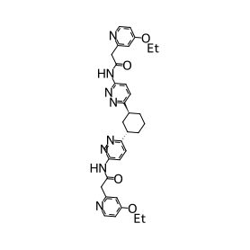 CCOc1ccnc(CC(=O)Nc2ccc([C@H]3CCC[C@H](c4ccc(NC(=O)Cc5cc(OCC)ccn5)nn4)C3)nn2)c1